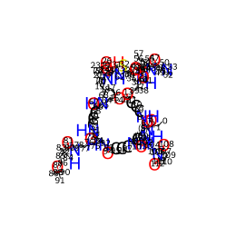 CCC(=O)N[C@@H]1C(=O)NCCCC(=O)Oc2ccc(C[C@@H](C[C@H](C)C(=O)O)NC(=O)c3csc([C@@H](CC(C(C)C)N(C)C(=O)[C@@H](NC(=O)C(C)(C)N(C)C)[C@@H](C)CC)OC(C)=O)n3)cc2NC(=O)CCCNC(=O)[C@H](CCCCNC(=O)C(C)(C)CCOC(C)(C)C)NC(=O)CCCNC[C@@H]1NC(=O)CCN1C(=O)C=CC1=O